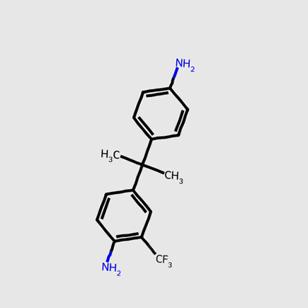 CC(C)(c1ccc(N)cc1)c1ccc(N)c(C(F)(F)F)c1